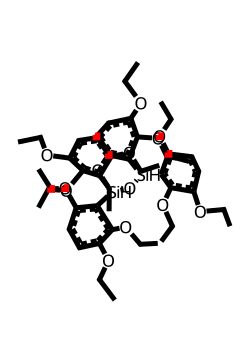 CCOc1ccc(OCC)c([SiH](O[SiH](c2c(OCC)ccc(OCC)c2OCC)c2c(OCC)ccc(OCC)c2OCC)c2c(OCC)ccc(OCC)c2OCC)c1OCC